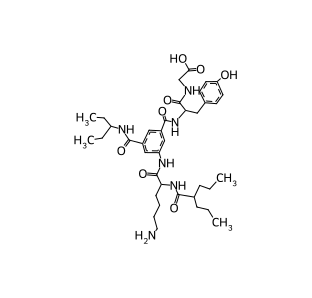 CCCC(CCC)C(=O)NC(CCCCN)C(=O)Nc1cc(C(=O)NC(CC)CC)cc(C(=O)NC(Cc2ccc(O)cc2)C(=O)NCC(=O)O)c1